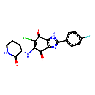 O=C1C(N[C@H]2CCCNC2=O)=C(Cl)C(=O)c2[nH]c(-c3ccc(F)cc3)nc21